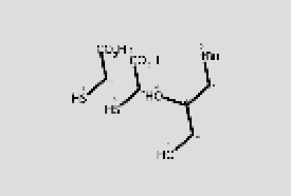 CC(C)(C)CC(O)CO.O=C(O)CS.O=C(O)CS